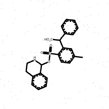 Cc1ccc(S(=O)(=O)OC2NCCc3ccccc32)c(C(C(=O)O)c2ccccc2)c1